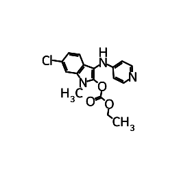 CCOC(=O)Oc1c(Nc2ccncc2)c2ccc(Cl)cc2n1C